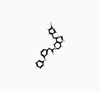 O=C(Cc1cccc(Oc2ccccc2)c1)N1CCc2ncnc(Cc3ccc(F)cc3)c2C1